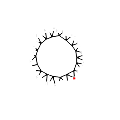 FC1C(F)(F)C(F)(F)C(F)(F)C(F)(F)C(F)(F)C(F)(F)C(F)(F)C(F)(F)C(F)(F)C(F)(F)C(F)(F)C(F)(F)C(F)(F)C(F)(F)C(F)(F)C(F)(F)C1(F)F